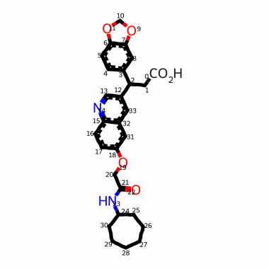 O=C(O)CC(c1ccc2c(c1)OCO2)c1cnc2ccc(OCC(=O)NC3CCCCCC3)cc2c1